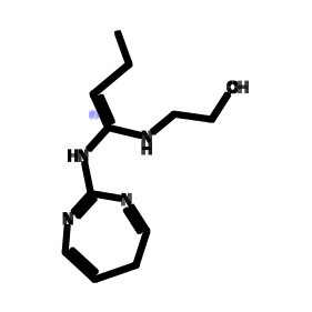 CC/C=C(\NCCO)NC1=NC=CCC=N1